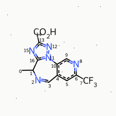 CC1N=Cc2cc(C(F)(F)F)ncc2-n2nc(C(=O)O)nc21